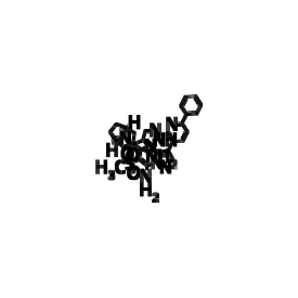 CS(=O)(=O)c1c(C2C[C@H]3CC[C@@H](C2)N3C(=O)c2cn[nH]c2N)nc2c(-c3ccc(-c4ccccc4)nc3)cnn2c1N